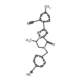 C#Cc1ccc(CN2CC(C)n3nc(-c4ccc(C)cc4C#N)cc3C2=O)cc1